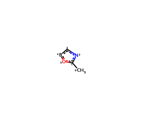 Cc1ncbo1